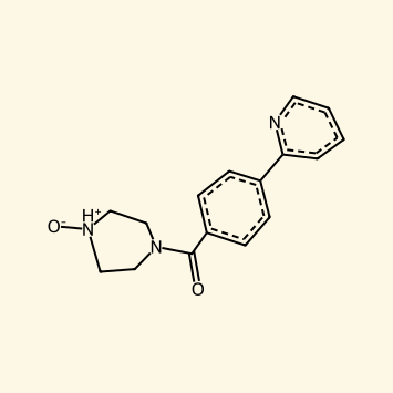 O=C(c1ccc(-c2ccccn2)cc1)N1CC[NH+]([O-])CC1